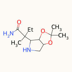 CCC(C)(C(N)=O)C1NCC2OC(C)(C)OC21